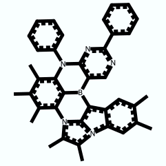 Cc1cc2c3c4n(c(C)c(C)n4c2cc1C)-c1c(C)c(C)c(C)c2c1B3c1cnc(-c3ccccc3)nc1N2c1ccccc1